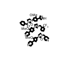 CCC(c1ccccc1)N1CCN(c2ccc(-c3cn[nH]c3)c(OC)c2)C1=O.COc1cc(-[n+]2ccn(Cc3ccccc3C(F)(F)F)c2)ccc1-c1ccncc1.COc1cc(N2CCN(Cc3ccncc3)C2=O)ccc1-c1ccncc1